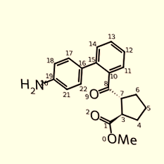 COC(=O)[C@@H]1CCC[C@H]1C(=O)c1ccccc1-c1ccc(N)cc1